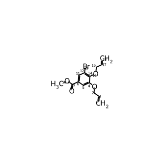 C=CCOc1cc(C(=O)OC)cc(Br)c1OCC=C